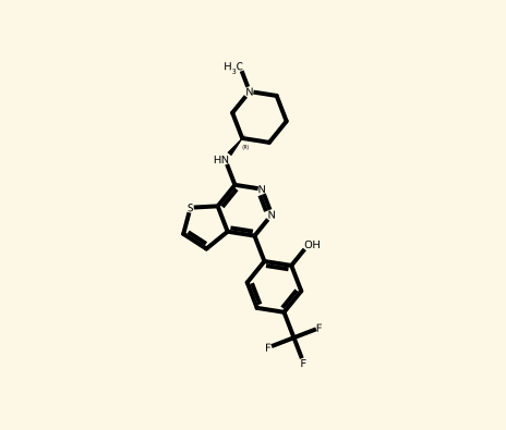 CN1CCC[C@@H](Nc2nnc(-c3ccc(C(F)(F)F)cc3O)c3ccsc23)C1